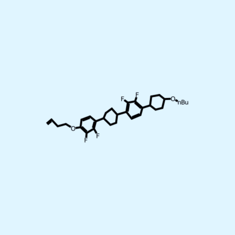 C=CCCOc1ccc(C2CCC(c3ccc(C4CCC(OCCCC)CC4)c(F)c3F)CC2)c(F)c1F